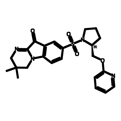 CC1(C)CN=C2C(=O)c3cc(S(=O)(=O)N4CCC[C@H]4COc4ccccn4)ccc3N2C1